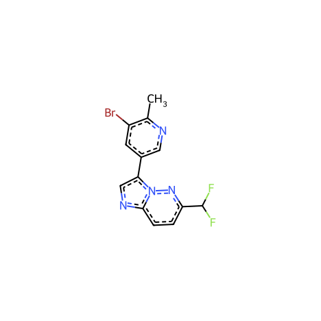 Cc1ncc(-c2cnc3ccc(C(F)F)nn23)cc1Br